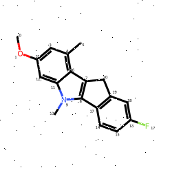 COc1cc(C)c2c3c(n(C)c2c1)-c1ccc(F)cc1C3